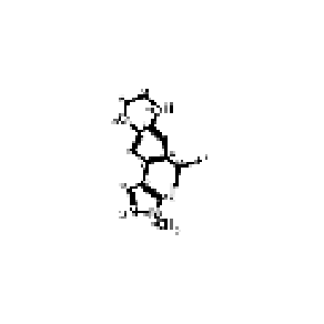 Cn1cc(-c2cc3c(cc2C(F)F)NCCO3)cn1